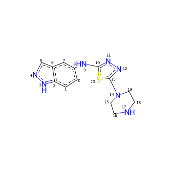 c1cc2[nH]ncc2cc1Nc1nnc(N2CCNCC2)s1